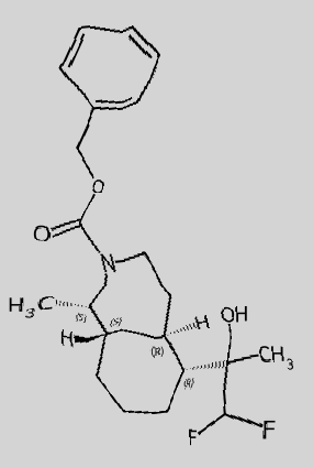 C[C@H]1[C@H]2CCC[C@@H](C(C)(O)C(F)F)[C@@H]2CCN1C(=O)OCc1ccccc1